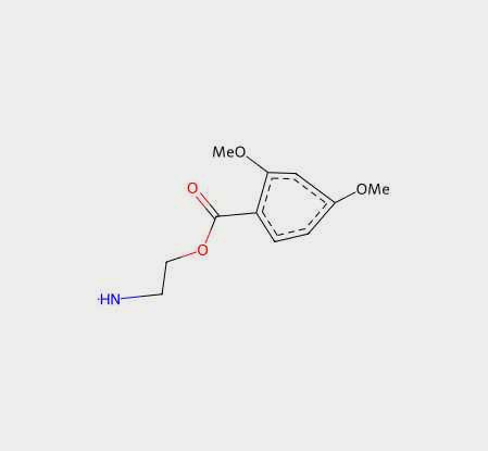 COc1ccc(C(=O)OCC[NH])c(OC)c1